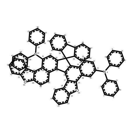 c1ccc(N(c2ccccc2)c2ccc3c4c(c5c6ccccc6oc5c3c2)-c2c(cc(N(c3ccccc3)c3ccccc3)c3c2ccc2oc5ccccc5c23)C42c3ccccc3-c3ccccc32)cc1